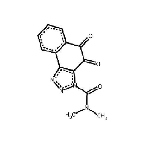 CN(C)C(=O)n1nnc2c1C(=O)C(=O)c1ccccc1-2